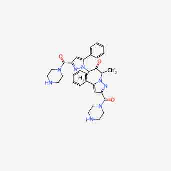 CC(C(=O)C(C)n1nc(C(=O)N2CCNCC2)cc1-c1ccccc1)n1nc(C(=O)N2CCNCC2)cc1-c1ccccc1